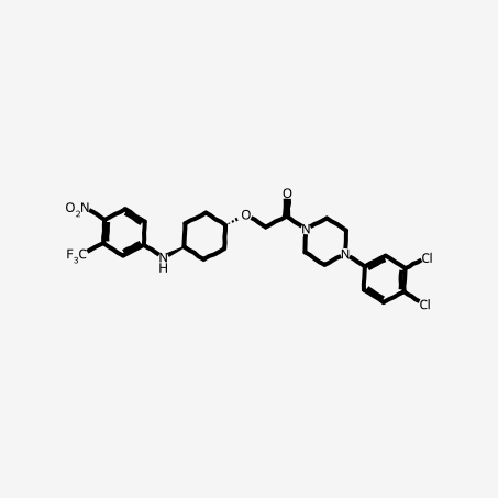 O=C(CO[C@H]1CC[C@H](Nc2ccc([N+](=O)[O-])c(C(F)(F)F)c2)CC1)N1CCN(c2ccc(Cl)c(Cl)c2)CC1